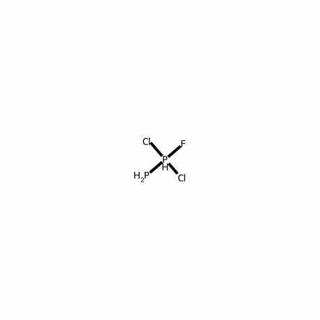 F[PH](P)(Cl)Cl